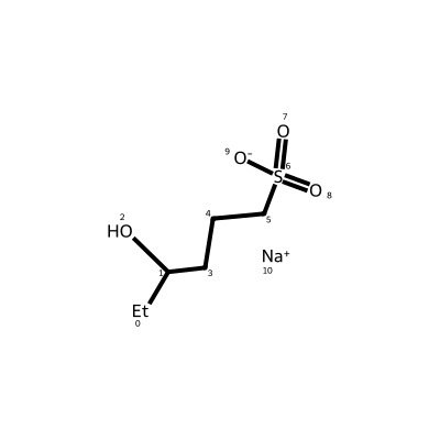 CCC(O)CCCS(=O)(=O)[O-].[Na+]